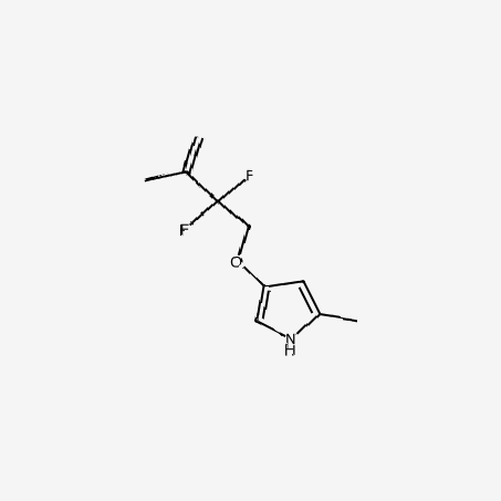 C=C(C)C(F)(F)COc1c[nH]c(C)c1